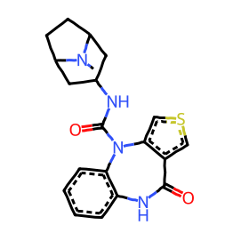 CN1C2CCC1CC(NC(=O)N1c3ccccc3NC(=O)c3cscc31)C2